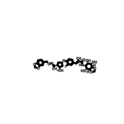 C/C(=C\c1ccc(O[C@H]2C[C@@H](O)[C@@H](/C(C)=N/OCc3ccc4c(c3)OCO4)C2)c(F)c1)C(=O)N[C@@H]1[C@H](O)[C@@H](O)[C@H]2OCO[C@H]2[C@@H]1O